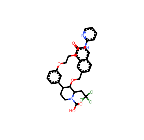 O=C(Nc1ccccn1)OCCOc1cccc(C2CCN(C(=O)O)C(CC(Cl)(Cl)Cl)C2OCc2ccc3ccccc3c2)c1